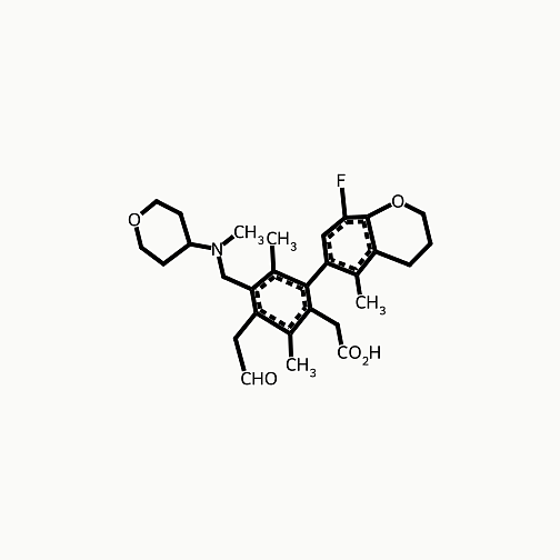 Cc1c(-c2c(C)c(CN(C)C3CCOCC3)c(CC=O)c(C)c2CC(=O)O)cc(F)c2c1CCCO2